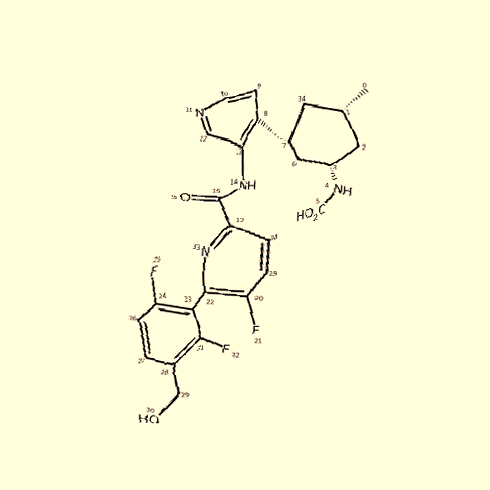 C[C@@H]1C[C@H](NC(=O)O)C[C@H](c2ccncc2NC(=O)c2ccc(F)c(-c3c(F)ccc(CO)c3F)n2)C1